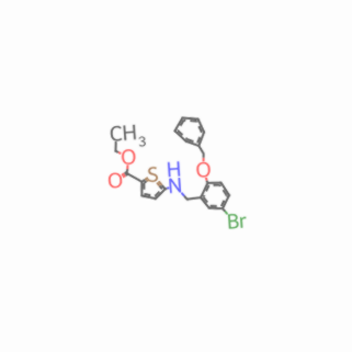 CCOC(=O)c1ccc(NCc2cc(Br)ccc2OCc2ccccc2)s1